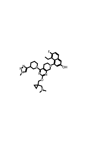 CCc1c(F)ccc2cc(O)cc(N3CCc4c(nc(OCC5(CN(C)C)CC5)nc4N4CCCC(c5cn(C)nn5)C4)C3)c12